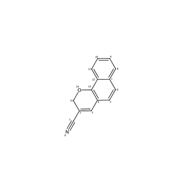 N#CC1=Cc2ccc3ccccc3c2OC1